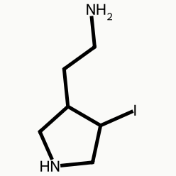 NCCC1CNCC1I